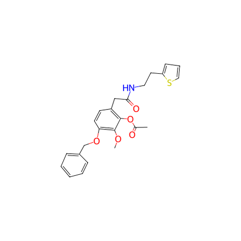 COc1c(OCc2ccccc2)ccc(CC(=O)NCCc2cccs2)c1OC(C)=O